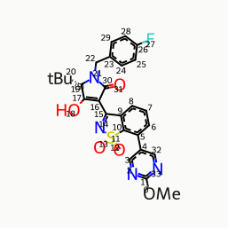 COc1ncc(-c2cccc3c2S(=O)(=O)N=C3C2=C(O)[C@H](C(C)(C)C)N(Cc3ccc(F)cc3)C2=O)cn1